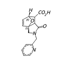 O=C(O)C1C2C(=O)N(Cc3ccccn3)C[C@]23C=C[C@H]1O3